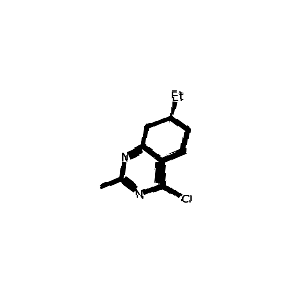 CC[C@H]1CCc2c(Cl)nc(C)nc2C1